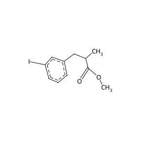 COC(=O)C(C)Cc1cccc(I)c1